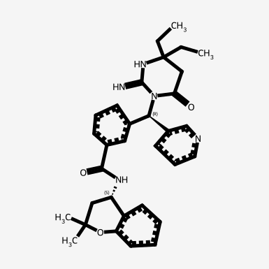 CCC1(CC)CC(=O)N([C@@H](c2cccnc2)c2cccc(C(=O)N[C@H]3CC(C)(C)Oc4ccccc43)c2)C(=N)N1